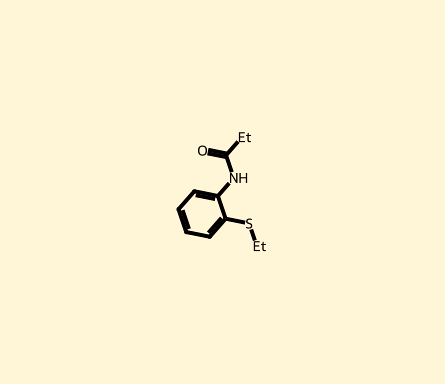 CCSc1ccccc1NC(=O)CC